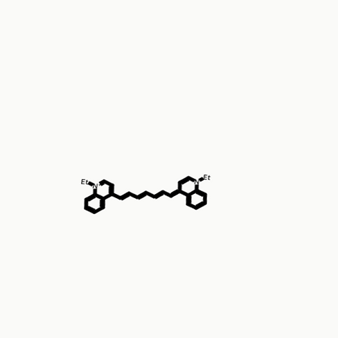 CCN1C=C\C(=C/C=C/C=C/C=C/c2cc[n+](CC)c3ccccc23)c2ccccc21